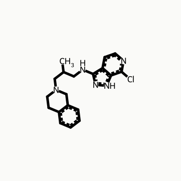 CC(CNc1n[nH]c2c(Cl)nccc12)CN1CCc2ccccc2C1